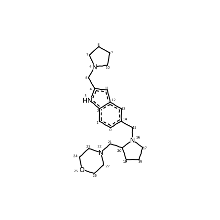 c1cc2[nH]c(CN3CCCC3)cc2cc1CN1CCCC1CN1CCOCC1